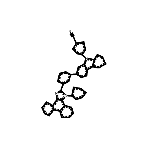 N#Cc1ccc(-n2c3ccccc3c3ccc(-c4cccc(-c5nc6c7ccccc7c7ccccc7c6n5-c5ccccc5)c4)cc32)cc1